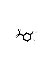 C[C@@H]1CCC(C(=O)O)CC1O